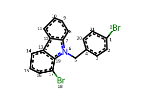 Brc1ccc(Cn2c3ccccc3c3cccc(Br)c32)cc1